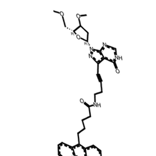 COC[C@H]1O[C@@H](n2nc(C#CCCNC(=O)CCCCc3c4ccccc4nc4ccccc34)c3c(=O)[nH]cnc32)CC1OC